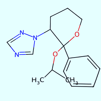 CC(C)OC1(c2ccccc2)OCCCC1n1cncn1